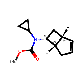 CC(C)(C)OC(=O)N(C1CC1)[C@@H]1C[C@@H]2C=CC[C@H]12